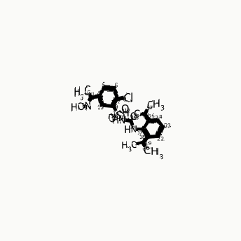 CC(=NO)c1ccc(Cl)c(S(=O)(=O)NC(=O)Nc2c(C(C)C)cccc2C(C)C)c1